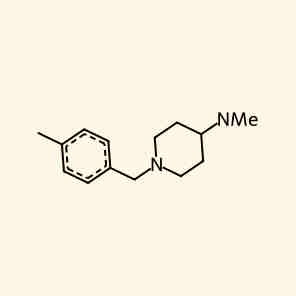 CNC1CCN(Cc2ccc(C)cc2)CC1